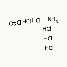 Cl.Cl.Cl.Cl.Cl.Cl.N.[Os]